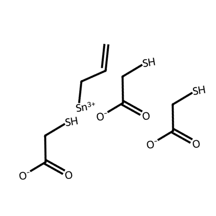 C=C[CH2][Sn+3].O=C([O-])CS.O=C([O-])CS.O=C([O-])CS